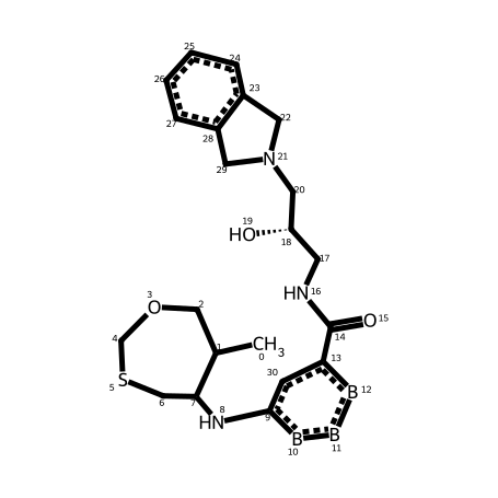 CC1COCSCC1Nc1bbbc(C(=O)NC[C@H](O)CN2Cc3ccccc3C2)c1